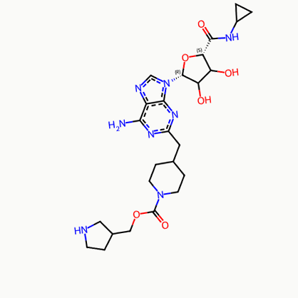 Nc1nc(CC2CCN(C(=O)OCC3CCNC3)CC2)nc2c1ncn2[C@@H]1O[C@H](C(=O)NC2CC2)C(O)C1O